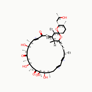 CC[C@@H]1/C=C/C=C/C[C@H](C)[C@@H](O)[C@@](C)(O)C(=O)[C@H](C)[C@@H](O)[C@H](C)C(=O)[C@H](C)[C@@H](O)[C@H](C)/C=C/C(=O)C[C@H]2[C@@H](C)[C@@H](CC1)O[C@]1(CC[C@@H](C)[C@@H](C[C@H](C)O)O1)[C@@H]2CC